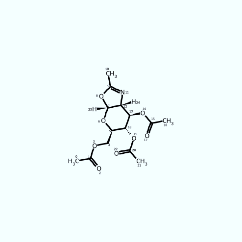 CC(=O)OC[C@H]1O[C@@H]2OC(C)=N[C@@H]2[C@@H](OC(C)=O)[C@@H]1OC(C)=O